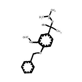 C[SiH](C)OC(C)(c1ccc(OCc2ccccc2)c(NC=O)c1)C(C)(C)C